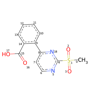 CS(=O)(=O)c1nccc(-c2ccccc2C(=O)O)n1